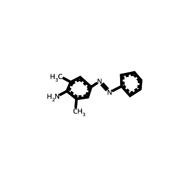 Cc1cc(/N=N/c2ccccc2)cc(C)c1N